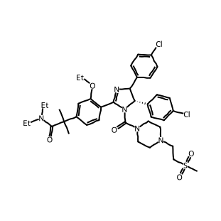 CCOc1cc(C(C)(C)C(=O)N(CC)CC)ccc1C1=NC(c2ccc(Cl)cc2)[C@H](c2ccc(Cl)cc2)N1C(=O)N1CCN(CCS(C)(=O)=O)CC1